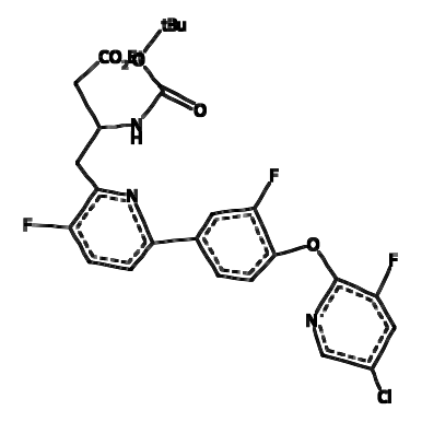 CCOC(=O)CC(Cc1nc(-c2ccc(Oc3ncc(Cl)cc3F)c(F)c2)ccc1F)NC(=O)OC(C)(C)C